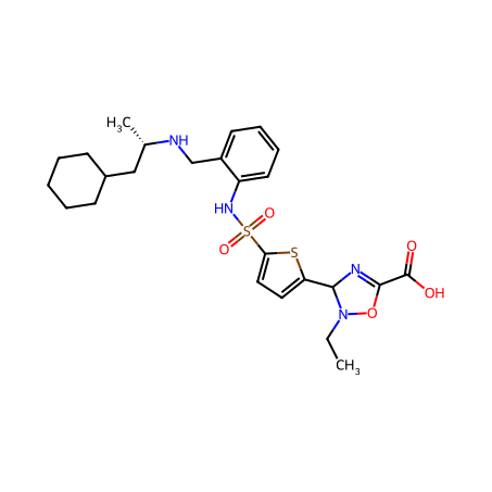 CCN1OC(C(=O)O)=NC1c1ccc(S(=O)(=O)Nc2ccccc2CN[C@@H](C)CC2CCCCC2)s1